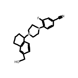 N#Cc1ccc(N2CCN(C3CCCc4cc(CO)ccc43)CC2)c(F)c1